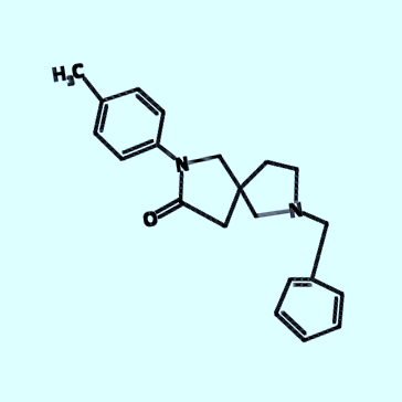 Cc1ccc(N2CC3(CCN(Cc4ccccc4)C3)CC2=O)cc1